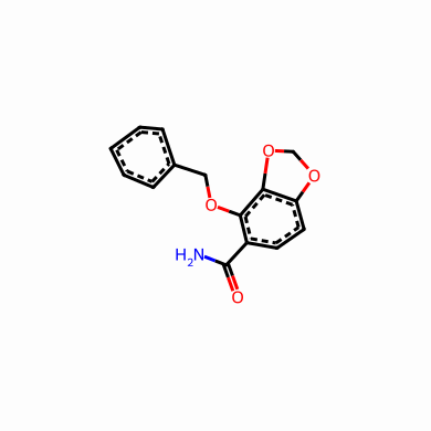 NC(=O)c1ccc2c(c1OCc1ccccc1)OCO2